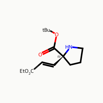 CCOC(=O)C=C[C@]1(C(=O)OC(C)(C)C)CCCN1